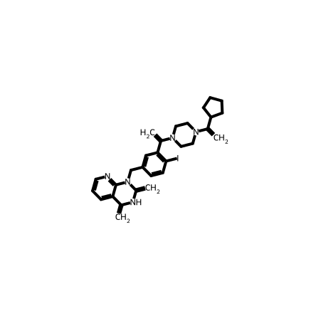 C=C1NC(=C)N(Cc2ccc(I)c(C(=C)N3CCN(C(=C)C4CCCC4)CC3)c2)c2ncccc21